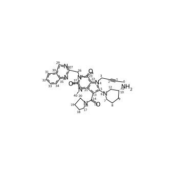 CC#CCn1c(N2CCC[C@@H](N)C2)c(C(=O)N2CCCC2)c2c1c(=O)n(Cc1ncc3ccccc3n1)c(=O)n2C